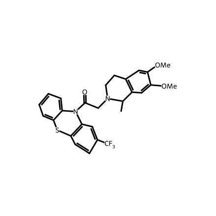 COc1cc2c(cc1OC)C(C)N(CC(=O)N1c3ccccc3Sc3ccc(C(F)(F)F)cc31)CC2